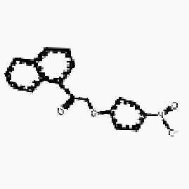 O=C(COc1ccc([N+](=O)[O-])cc1)c1cccc2ccccc12